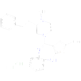 CN1CCN(C2=Nc3ccccc3Nc3sc(C(C)(C)C)cc32)CC1CCc1ccccc1.Cl.Cl